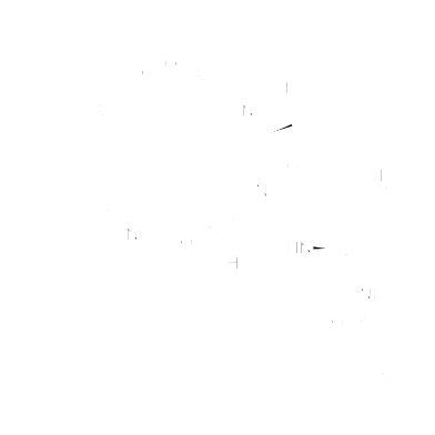 C=C[C@@H]1C[C@]1(NC(=O)[C@@H]1C[C@@H]2CN1C(=O)[C@H](C1CCCC1)N(C)CCOCCCCc1cccc3c1CN(C3)C(=O)O2)C(=O)NS(=O)(=O)C1CC1